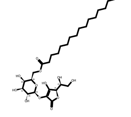 CCCCCCCCCCCCCCCC(=O)OC[C@H]1O[C@@H](OC2=C(O)[C@@H]([C@@H](O)CO)OC2=O)[C@H](O)[C@@H](O)[C@H]1O